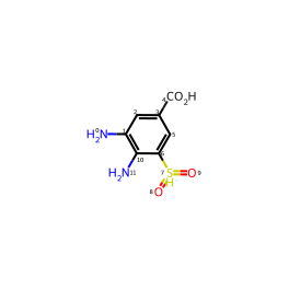 Nc1cc(C(=O)O)cc([SH](=O)=O)c1N